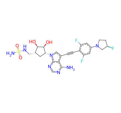 Nc1ncnc2c1c(C#Cc1c(F)cc(N3CC[C@@H](F)C3)cc1F)cn2[C@@H]1C[C@H](CNS(N)(=O)=O)[C@@H](O)[C@H]1O